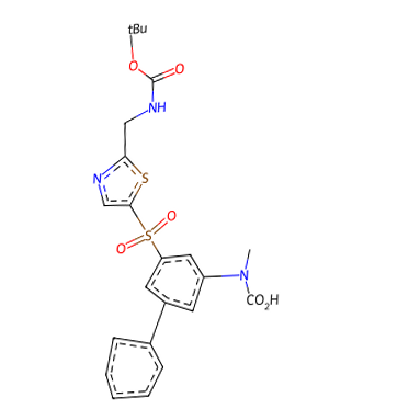 CN(C(=O)O)c1cc(-c2ccccc2)cc(S(=O)(=O)c2cnc(CNC(=O)OC(C)(C)C)s2)c1